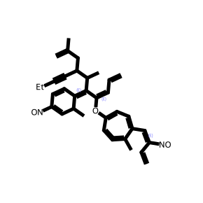 C=C/C=C(OC1=CC=C(/C=C(\C=C)N=O)C(C)=C=C1)\C(=C1\C=CC(N=O)=CC1C)C(C)C(C#CCC)CC(=C)C